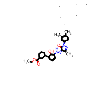 CCOC(=O)C1CCCC(c2cccc(N/N=C3\C(=O)N(c4ccc(C)c(C)c4)N=C3C)c2O)C1